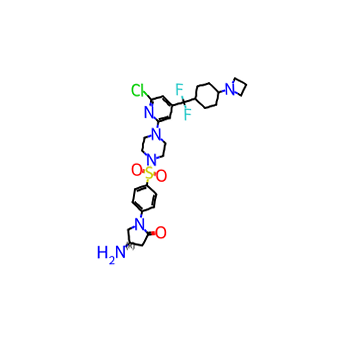 N[C@@H]1CC(=O)N(c2ccc(S(=O)(=O)N3CCN(c4cc(C(F)(F)C5CCC(N6CCC6)CC5)cc(Cl)n4)CC3)cc2)C1